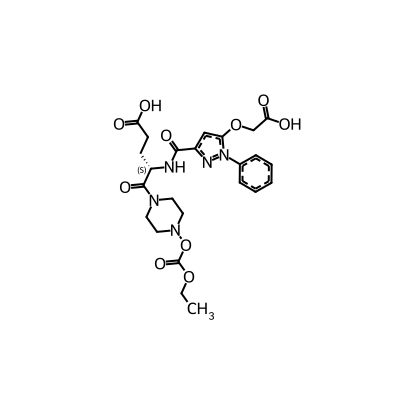 CCOC(=O)ON1CCN(C(=O)[C@H](CCC(=O)O)NC(=O)c2cc(OCC(=O)O)n(-c3ccccc3)n2)CC1